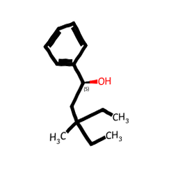 CCC(C)(CC)C[C@H](O)c1ccccc1